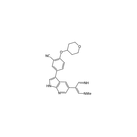 CN/C=C(\C=N)c1cnc2[nH]cc(-c3ccc(OC4CCOCC4)c(C#N)c3)c2c1